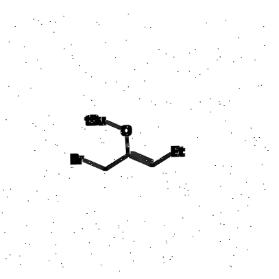 CCC=C(CBr)OC(C)(C)C